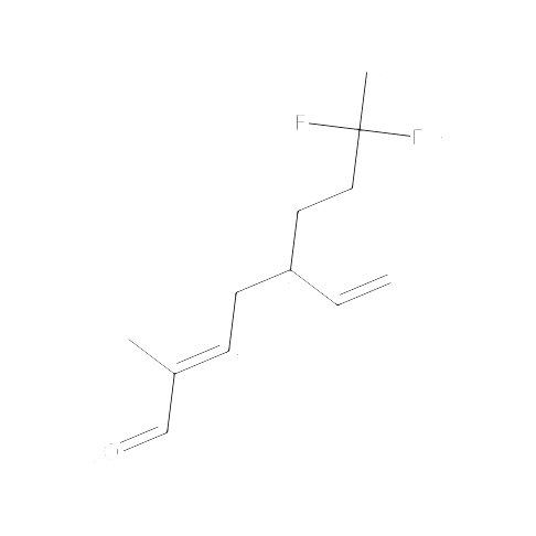 C=CC(C/C=C(\C)C=O)CCC(C)(F)F